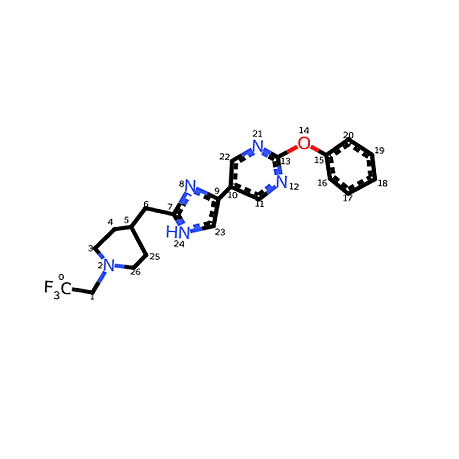 FC(F)(F)CN1CCC(Cc2nc(-c3cnc(Oc4ccccc4)nc3)c[nH]2)CC1